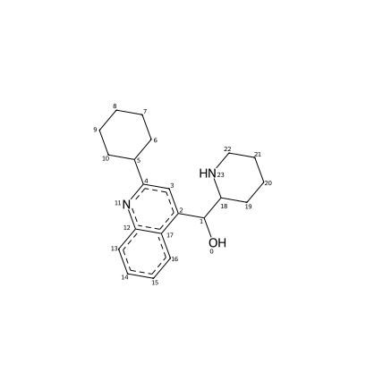 OC(c1cc(C2CCCCC2)nc2ccccc12)C1CCCCN1